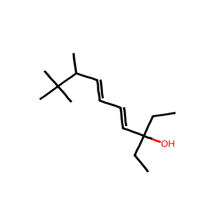 CCC(O)(/C=C/C=C/C(C)C(C)(C)C)CC